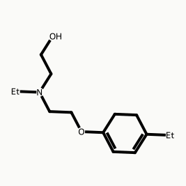 CCC1=CC=C(OCCN(CC)CCO)CC1